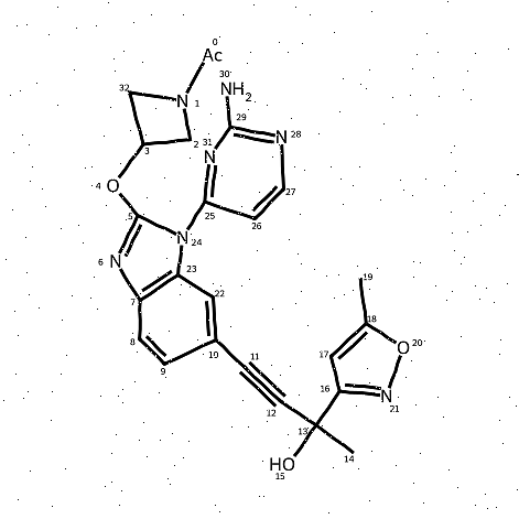 CC(=O)N1CC(Oc2nc3ccc(C#CC(C)(O)c4cc(C)on4)cc3n2-c2ccnc(N)n2)C1